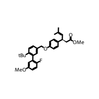 COC(=O)C[C@H](C=C(C)C)c1ccc(OCc2ccc(C(C)(C)C)c(-c3cc(OC)ccc3F)c2)cc1